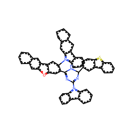 c1ccc2cc3c(cc2c1)oc1cc(C2=NC(n4c5ccccc5c5ccccc54)=NC(c4ccc5sc6ccccc6c5c4)N2)c(-n2c4ccccc4c4cc5ccccc5cc42)cc13